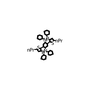 CCCc1cc2c(s1)-c1cc3c(cc1N(c1ccccc1)B2c1ccccc1)-c1sc(CCC)cc1B(c1ccccc1)N3c1ccccc1